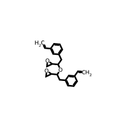 C=Cc1cccc(CC(OC(Cc2cccc(C=C)c2)C2CO2)C2CO2)c1